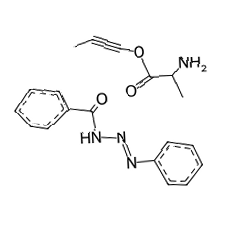 CC#COC(=O)C(C)N.O=C(NN=Nc1ccccc1)c1ccccc1